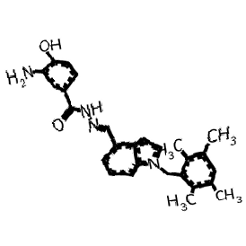 Cc1cc(C)c(C)c(Cn2ccc3c(/C=N/NC(=O)c4ccc(O)c(N)c4)cccc32)c1C